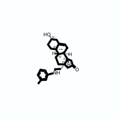 Cc1cccc(NCC[C@]23CC[C@H]4[C@@H](CC=C5C[C@@H](O)CC[C@@]54C)[C@@H]2CC(=O)C3)c1